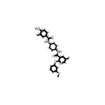 CSc1cccc(Oc2ncc(F)cc2C(=O)NC2CCC(NC(=O)c3ccc(O)c(C)c3)CC2)c1